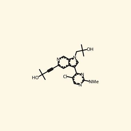 CNc1ncc(Cl)c(-c2cn(CC(C)(C)O)c3cnc(C#CC(C)(C)O)cc23)n1